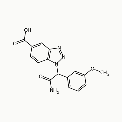 COc1cccc(C(C(N)=O)n2nnc3cc(C(=O)O)ccc32)c1